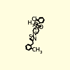 Cc1ccccc1Cc1csc(N2CCN(S(=O)(=O)C3C=CC=CC3(C)Cl)CC2)n1